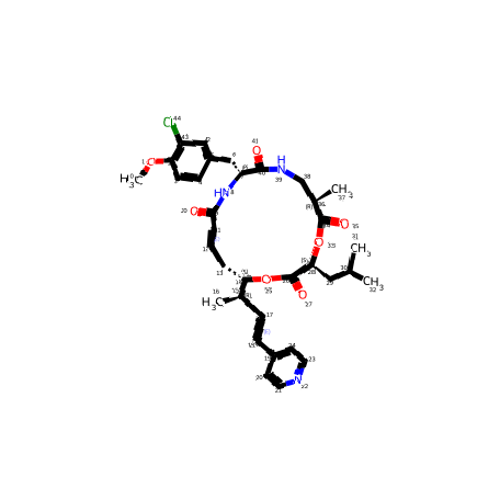 COc1ccc(C[C@H]2NC(=O)/C=C/C[C@@H]([C@H](C)/C=C/c3ccncc3)OC(=O)[C@H](CC(C)C)OC(=O)[C@H](C)CNC2=O)cc1Cl